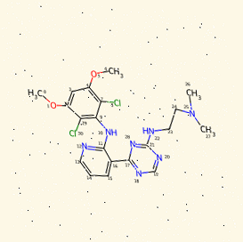 COc1cc(OC)c(Cl)c(Nc2ncccc2-c2ncnc(NCCN(C)C)n2)c1Cl